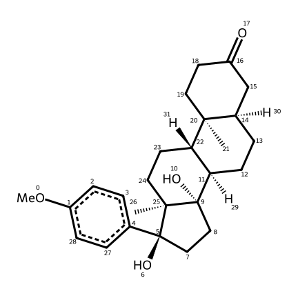 COc1ccc([C@@]2(O)CC[C@]3(O)[C@@H]4CC[C@@H]5CC(=O)CC[C@]5(C)[C@H]4CC[C@]23C)cc1